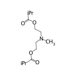 CC(C)C(=O)OCCN(C)CCOC(=O)C(C)C